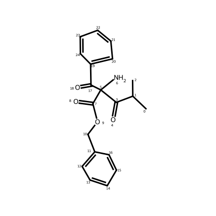 CC(C)C(=O)C(N)(C(=O)OCc1ccccc1)C(=O)c1ccccc1